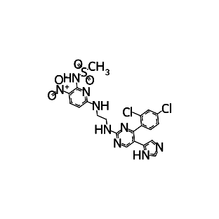 CS(=O)(=O)Nc1nc(NCCNc2ncc(-c3cnc[nH]3)c(-c3ccc(Cl)cc3Cl)n2)ccc1[N+](=O)[O-]